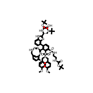 COc1ccc(CN(Cc2ccc(OC)cc2)S(=O)(=O)c2c(S(=O)(=O)NCCNC(=O)OC(C)(C)C)ccc(-c3cccc4[nH]c([C@@H](CN(C(=O)O)C(C)(C)C)NC(=O)OC(C)(C)C)nc34)c2C2=Nc3cc(ccc3OC)CNN=N2)cc1